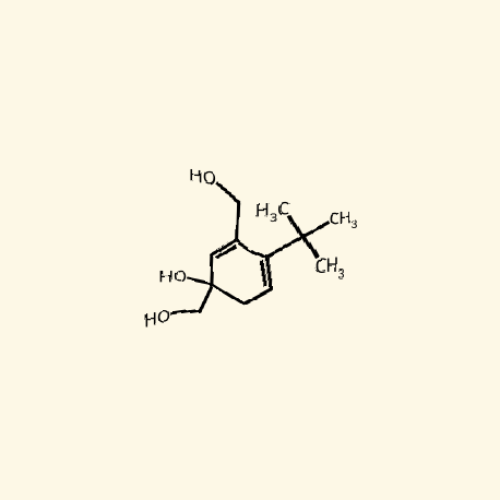 CC(C)(C)C1=CCC(O)(CO)C=C1CO